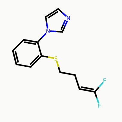 FC(F)=CCCSc1ccccc1-n1ccnc1